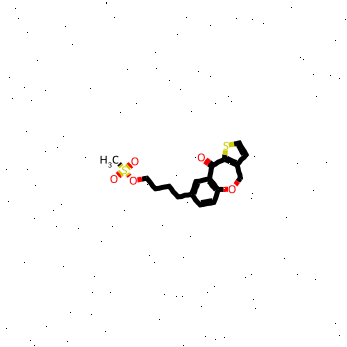 CS(=O)(=O)OCCCCc1ccc2c(c1)C(=O)c1sccc1CO2